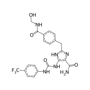 NC(=O)c1nc(Cc2ccc(C(=O)NCO)cc2)[nH]c1NC(=O)Nc1ccc(C(F)(F)F)cc1